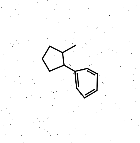 CC1CCCC1c1ccccc1